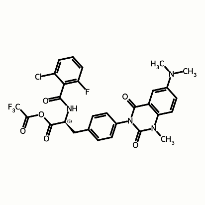 CN(C)c1ccc2c(c1)c(=O)n(-c1ccc(C[C@H](NC(=O)c3c(F)cccc3Cl)C(=O)OC(=O)C(F)(F)F)cc1)c(=O)n2C